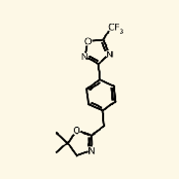 CC1(C)CN=C(Cc2ccc(-c3noc(C(F)(F)F)n3)cc2)O1